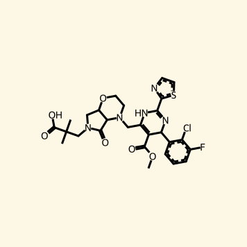 COC(=O)C1=C(CN2CCOC3CN(CC(C)(C)C(=O)O)C(=O)C32)NC(c2nccs2)=NC1c1cccc(F)c1Cl